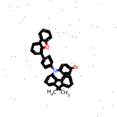 CC1(C)c2ccccc2-c2c(N(c3ccc(Br)cc3)c3ccc(-c4cccc5c4oc4ccccc45)cc3)cccc21